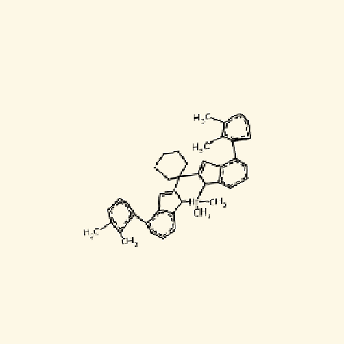 Cc1cccc(-c2cccc3c2C=C2[CH]3[Hf]([CH3])([CH3])[CH]3C(=Cc4c(-c5cccc(C)c5C)cccc43)C23CCCCC3)c1C